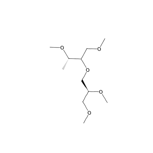 COCC(OC[C@H](COC)OC)[C@H](C)OC